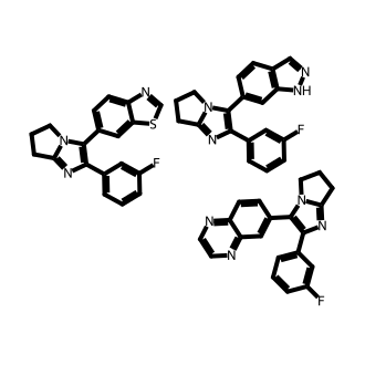 Fc1cccc(-c2nc3n(c2-c2ccc4cn[nH]c4c2)CCC3)c1.Fc1cccc(-c2nc3n(c2-c2ccc4nccnc4c2)CCC3)c1.Fc1cccc(-c2nc3n(c2-c2ccc4ncsc4c2)CCC3)c1